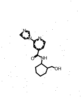 O=C(NC1CCCCC1CO)c1ccnc(-n2ccnc2)c1